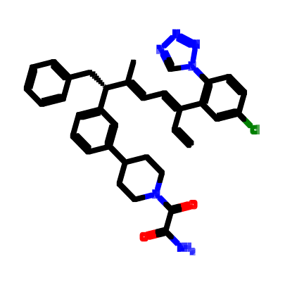 C=C/C(=C\C=C(/C)[C@@H](Cc1ccccc1)c1cccc(C2CCN(C(=O)C(N)=O)CC2)c1)c1cc(Cl)ccc1-n1cnnn1